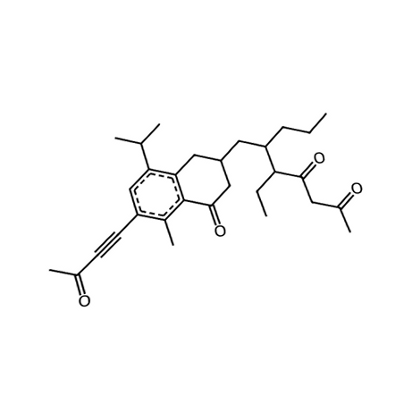 CCCC(CC1CC(=O)c2c(C)c(C#CC(C)=O)cc(C(C)C)c2C1)C(CC)C(=O)CC(C)=O